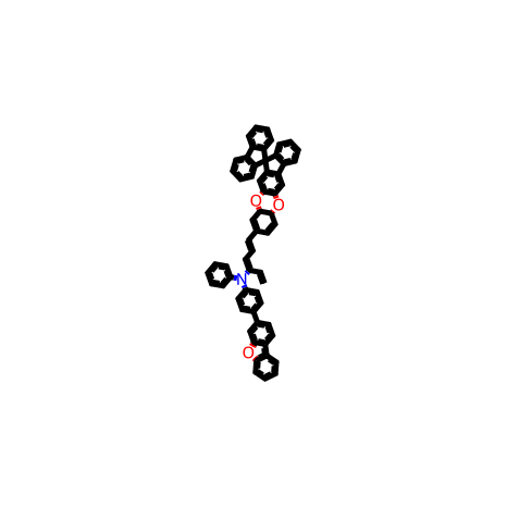 C=C/C(=C\C=C\C1=CC2Oc3cc4c(cc3OC2C=C1)-c1ccccc1C41c2ccccc2-c2ccccc21)N(c1ccccc1)c1ccc(-c2ccc3c(c2)oc2ccccc23)cc1